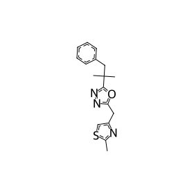 Cc1nc(Cc2nnc(C(C)(C)Cc3ccccc3)o2)cs1